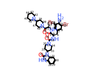 C[C@H](NC(=O)[C@@H](Cc1cc(Br)c(N)c(Br)c1)NC(=O)N1CCC(n2c(=O)[nH]c3ccccc32)CC1)C(=O)N1CCC(N2CCCCC2)CC1